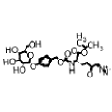 CC(C)OC(=O)[C@H](CCC(=O)C=[N+]=[N-])NC(=O)OCc1ccc(O[C@@H]2O[C@H](CO)[C@@H](O)[C@H](O)[C@H]2O)cc1